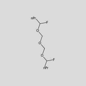 CCCC(F)OCOCOC(F)CCC